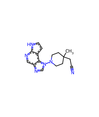 CC1(CC#N)CCN(n2cnc3cnc4[nH]ccc4c32)CC1